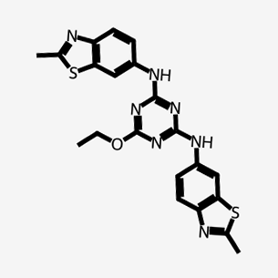 CCOc1nc(Nc2ccc3nc(C)sc3c2)nc(Nc2ccc3nc(C)sc3c2)n1